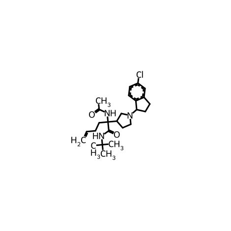 C=CCCC(NC(C)=O)(C(=O)NC(C)(C)C)C1CCN(C2CCc3cc(Cl)ccc32)C1